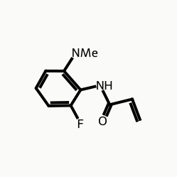 C=CC(=O)Nc1c(F)cccc1NC